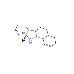 C1=CC2C(CC1)CCC1C2N[C@@H]2C=CCCC12